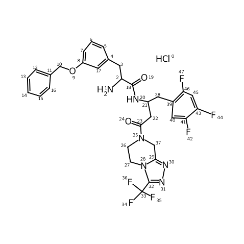 Cl.NC(Cc1cccc(OCc2ccccc2)c1)C(=O)NC(CC(=O)N1CCn2c(nnc2C(F)(F)F)C1)Cc1cc(F)c(F)cc1F